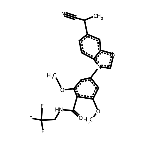 COc1cc(-n2cnc3cc(C(C)C#N)ccc32)cc(OC)c1C(=O)NCC(F)(F)F